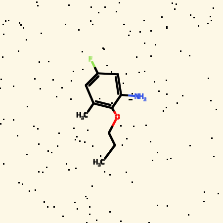 CCCOc1c(C)cc(F)cc1N